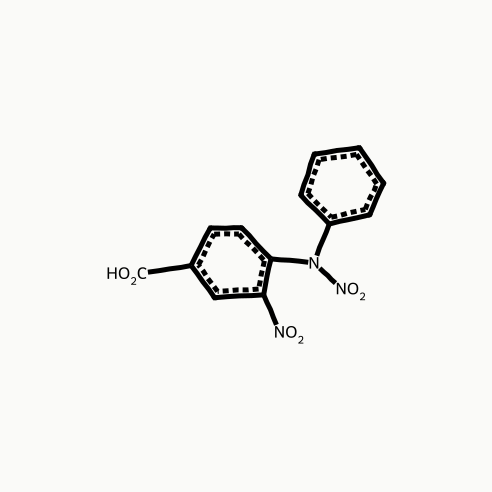 O=C(O)c1ccc(N(c2ccccc2)[N+](=O)[O-])c([N+](=O)[O-])c1